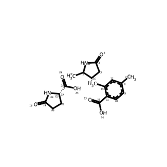 CC1CCC(=O)N1.Cc1ccc(C(=O)O)c(C)c1.O=C1CC[C@@H](C(=O)O)N1